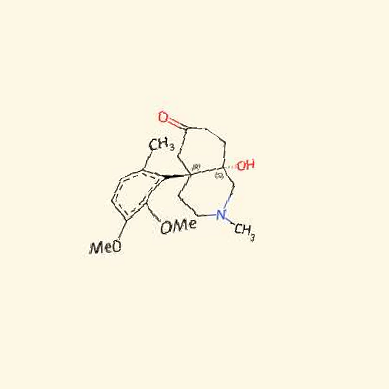 COc1ccc(C)c([C@]23CCN(C)C[C@]2(O)CCC(=O)C3)c1OC